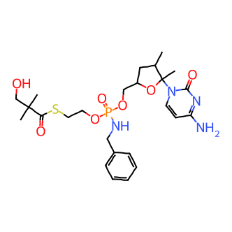 CC1CC(COP(=O)(NCc2ccccc2)OCCSC(=O)C(C)(C)CO)OC1(C)n1ccc(N)nc1=O